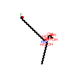 CCCCCCCCCCCCCC[C@@H](O)[C@@H](O)[C@H](COC1OC(CO)C(O)C(O)C1O)NC(=O)CCCCCCCCCCCCCCCCCCCCCC12CC(F)(C1)C2